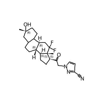 C[C@@]1(O)CCC2C(CC[C@@H]3[C@@H]2CC(F)(F)[C@]2(C)[C@@H](C(=O)Cn4ccc(C#N)n4)CC[C@@H]32)C1